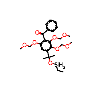 CC[SiH2]OC(C)(C)c1cc(OCOC)c(C(=O)c2ccccc2)c(OCOC)c1OCOC